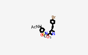 CC(=O)Nc1ccc(S(C)(=O)=NC(=O)c2cncc(C#Cc3ccc(Br)cc3)c2)cc1